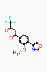 COc1cc(C(=O)CC(=O)C(F)(F)F)ccc1-c1cocn1